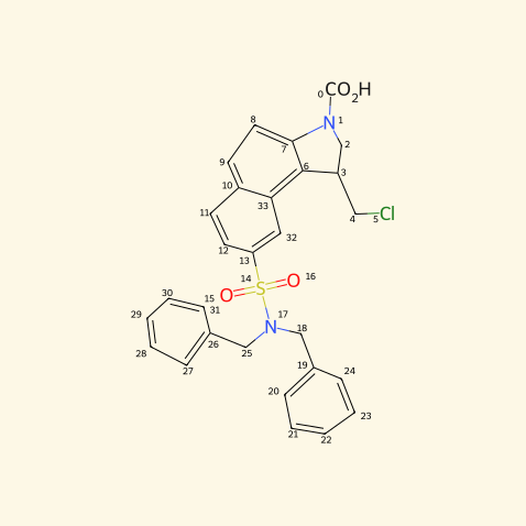 O=C(O)N1CC(CCl)c2c1ccc1ccc(S(=O)(=O)N(Cc3ccccc3)Cc3ccccc3)cc21